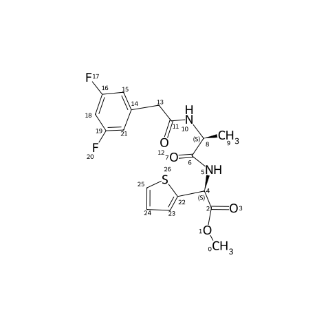 COC(=O)[C@H](NC(=O)[C@H](C)NC(=O)Cc1cc(F)cc(F)c1)c1cccs1